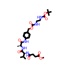 COC(=O)CCC(=O)N[C@H](C(=O)N[C@@H](C)C(=O)Nc1ccc(COC(=O)NCCNC(=O)OC(C)(C)C)cc1)C(C)C